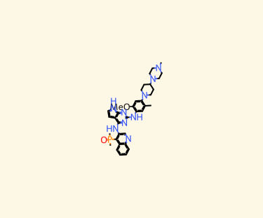 COc1cc(N2CCC(N3CCN(C)CC3)CC2)c(C)cc1Nc1nc(Nc2cnc3ccccc3c2P(C)(C)=O)c2cc[nH]c2n1